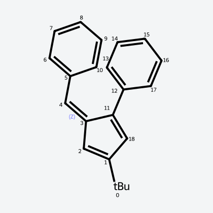 CC(C)(C)C1=C/C(=C/c2ccccc2)C(c2ccccc2)=C1